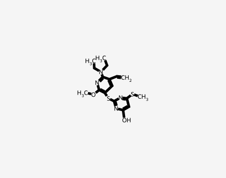 C=Cc1cc(Sc2nc(O)cc(SC)n2)c(OC)nc1N(CC)CC